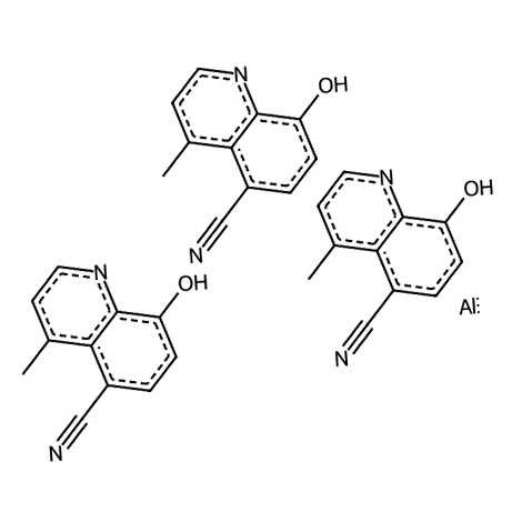 Cc1ccnc2c(O)ccc(C#N)c12.Cc1ccnc2c(O)ccc(C#N)c12.Cc1ccnc2c(O)ccc(C#N)c12.[Al]